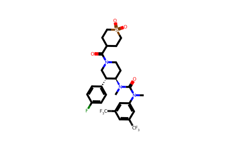 CN(C(=O)N(C)[C@@H]1CCN(C(=O)C2CCS(=O)(=O)CC2)C[C@H]1c1ccc(F)cc1)c1cc(C(F)(F)F)cc(C(F)(F)F)c1